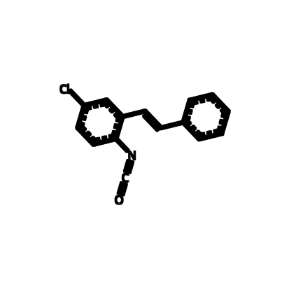 O=C=Nc1ccc(Cl)cc1C=Cc1ccccc1